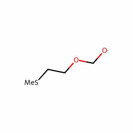 CSCCOC[O]